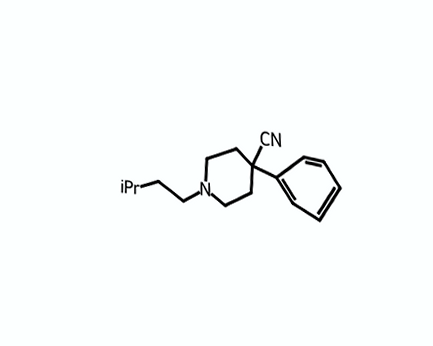 CC(C)CCN1CCC(C#N)(c2ccccc2)CC1